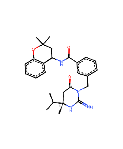 CC(C)[C@]1(C)CC(=O)N(Cc2cccc(C(=O)NC3CC(C)(C)Oc4ccccc43)c2)C(=N)N1